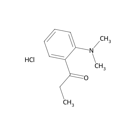 CCC(=O)c1ccccc1N(C)C.Cl